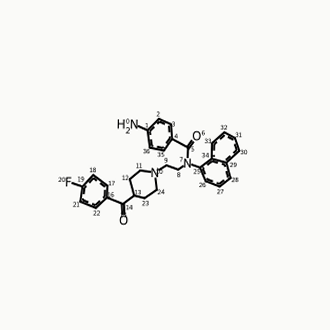 Nc1ccc(C(=O)N(CCN2CCC(C(=O)c3ccc(F)cc3)CC2)c2cccc3ccccc23)cc1